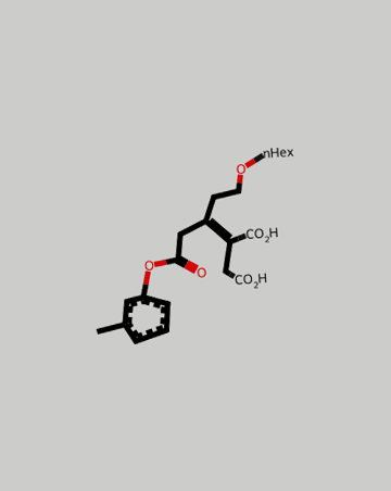 CCCCCCOCCC(CC(=O)Oc1cccc(C)c1)=C(CC(=O)O)C(=O)O